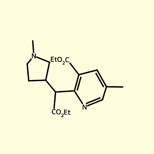 CCOC(=O)c1cc(C)cnc1C(C(=O)OCC)C1CCN(C)C1